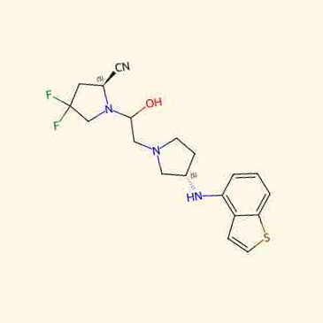 N#C[C@@H]1CC(F)(F)CN1C(O)CN1CC[C@H](Nc2cccc3sccc23)C1